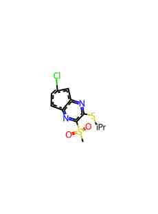 CC(C)Sc1nc2cc(Cl)ccc2nc1S(C)(=O)=O